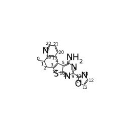 CC(Cc1cc2c(N)nc(-c3ncco3)nc2s1)c1ccccn1